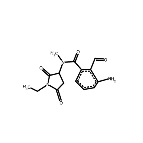 CCN1C(=O)CC(N(C)C(=O)c2cccc(N)c2C=O)C1=O